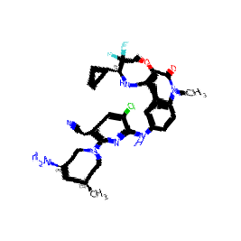 C[C@H]1C[C@@H](N)CN(c2nc(Nc3ccc4c(c3)c3c(c(=O)n4C)OCC(F)(F)[C@H](C4CC4)N3)c(Cl)cc2C#N)C1